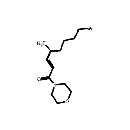 CC(C)CCCC[C@H](C)/C=C/C(=O)N1CCOCC1